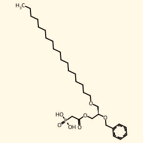 CCCCCCCCCCCCCCCCCCOC[C@H](COC(=O)CP(=O)(O)O)OCc1ccccc1